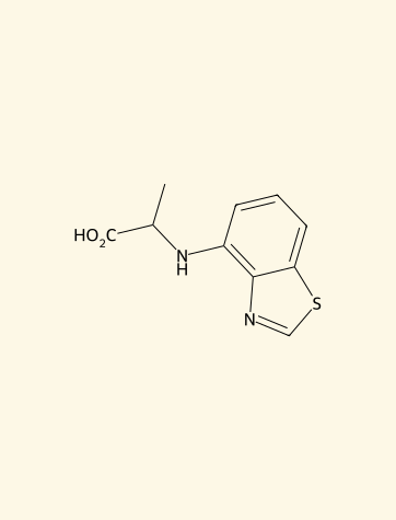 CC(Nc1cccc2scnc12)C(=O)O